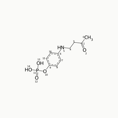 CC(=O)CCNc1ccc(OP(=O)(O)O)cc1